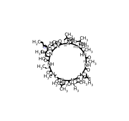 C=C/C=C/C[C@@H](C)[C@@H](O)C1C(=O)N[C@@H](CC)C(=O)N(C)CC(=O)N(C)[C@@H](CC(C)C)C(=O)N[C@@H](C(C)C)CN(C)[C@@H](CC(C)C)C(=O)N[C@@H](C)C(=O)N[C@H](C)C(=O)N(C)[C@@H](CC(C)C)C(=O)N(C)[C@@H](CC(C)C)C(=O)N(C)[C@@H](C(C)C)C(=O)N1C